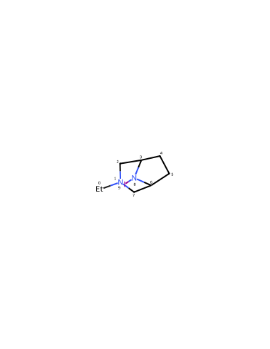 CCN1CC2CCC(C1)N2I